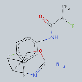 NC1=N[C@@]2(c3cc(NC(=O)C(F)C(F)(F)F)ccc3F)C3CC32CO1